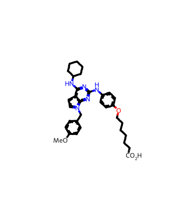 COc1ccc(Cn2ccc3c(NC4CCCCC4)nc(Nc4ccc(OCCCCCCC(=O)O)cc4)nc32)cc1